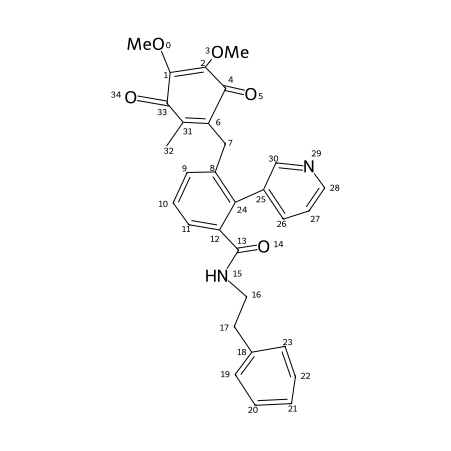 COC1=C(OC)C(=O)C(Cc2cccc(C(=O)NCCc3ccccc3)c2-c2cccnc2)=C(C)C1=O